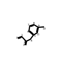 C=CC(=C)Cc1cccc(C)c1